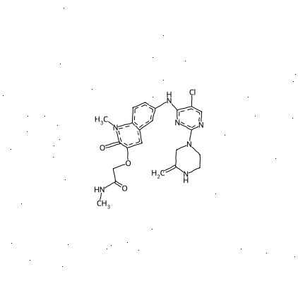 C=C1CN(c2ncc(Cl)c(Nc3ccc4c(c3)cc(OCC(=O)NC)c(=O)n4C)n2)CCN1